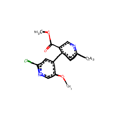 COC(=O)c1cnc(C)cc1-c1cc(Cl)ncc1OC